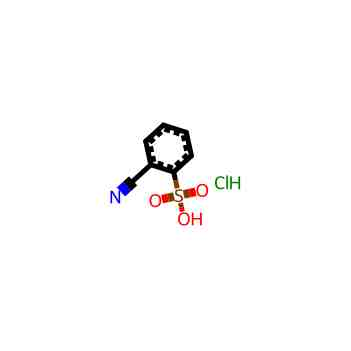 Cl.N#Cc1ccccc1S(=O)(=O)O